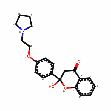 O=C1CC(O)(c2ccc(OCCN3CCCC3)cc2)Oc2ccccc21